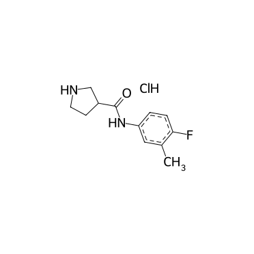 Cc1cc(NC(=O)C2CCNC2)ccc1F.Cl